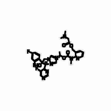 CC(OC(=O)N(C)c1ncccc1COC(=O)CN(C)C)[n+]1cnn(CC(O)(c2ccc(F)cc2F)[C@@H](C)c2ncncc2F)c1